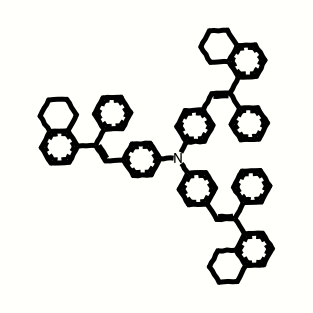 C(=C(/c1ccccc1)c1cccc2c1CCCC2)/c1ccc(N(c2ccc(/C=C(\c3ccccc3)c3cccc4c3CCCC4)cc2)c2ccc(/C=C(\c3ccccc3)c3cccc4c3CCCC4)cc2)cc1